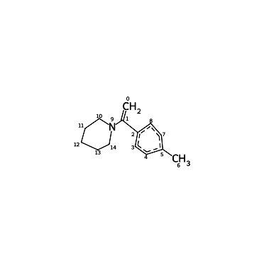 C=C(c1ccc(C)cc1)N1CCCCC1